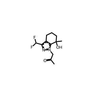 CC(=O)Cn1nc(C(F)F)c2c1C(C)(O)CCC2